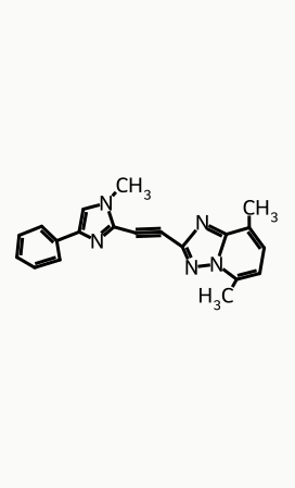 Cc1ccc(C)n2nc(C#Cc3nc(-c4ccccc4)cn3C)nc12